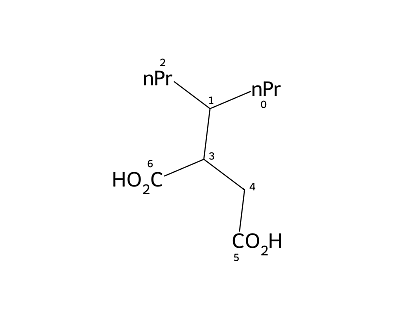 CCCC(CCC)C(CC(=O)O)C(=O)O